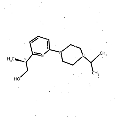 CC(C)N1CCN(c2cccc([C@H](C)CO)n2)CC1